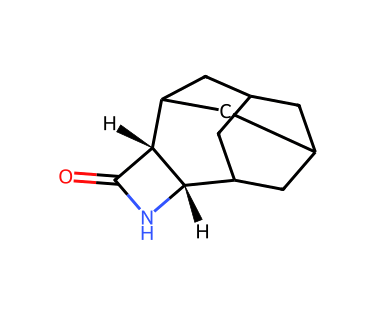 O=C1N[C@H]2C3CC4CC(CC(C4)[C@@H]12)C3